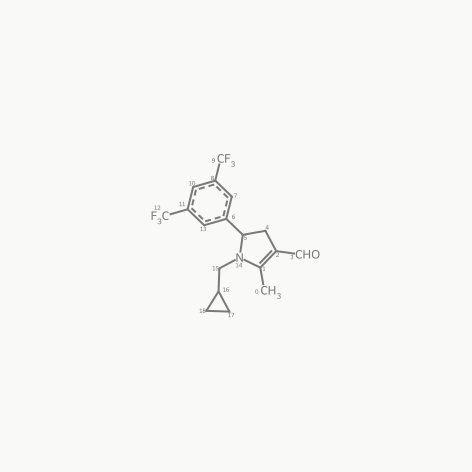 CC1=C(C=O)CC(c2cc(C(F)(F)F)cc(C(F)(F)F)c2)N1CC1CC1